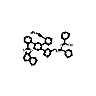 CCCC#Cc1ccccc1-c1cc(-c2ccccc2-c2nc3ccc4ccccc4c3o2)ccc1-c1cccc(C/N=C(\N=C(\c2ccccc2)C(C)CC)c2ccccc2)c1